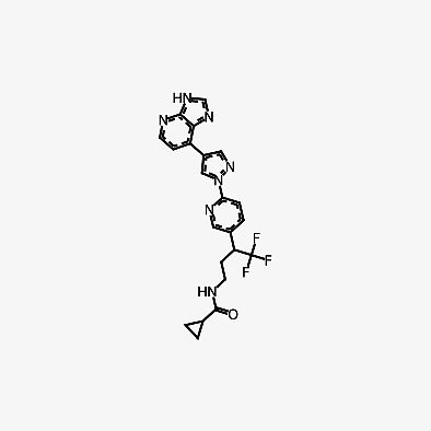 O=C(NCCC(c1ccc(-n2cc(-c3ccnc4[nH]cnc34)cn2)nc1)C(F)(F)F)C1CC1